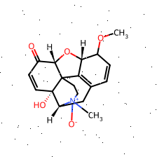 COC1C=CC2=C3[C@@H]1O[C@H]1C(=O)C=C[C@]4(O)[C@@H](C2)[N+](C)([O-])CCC314